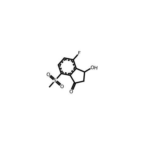 CS(=O)(=O)c1ccc(F)c2c1C(=O)CC2O